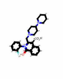 O=C(O)c1c(CN2CCC(N3CCCCC3)CC2)n(-c2ccccc2F)c(=O)c2ccccc12